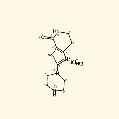 Cl.Cl.O=C1NCCc2nc(N3CCNCC3)sc21